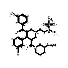 CCOC(=O)C1CCCN(C(=O)C2CN(CCN(C)S(C)(=O)=O)CC(C(=O)c3cccc(O)c3)C2c2cccc(F)c2C)C1